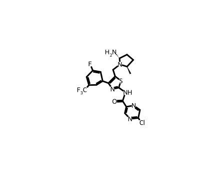 C[C@@H]1CC[C@@H](N)N1Cc1sc(NC(=O)c2cnc(Cl)cn2)nc1-c1cc(F)cc(C(F)(F)F)c1